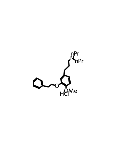 CCCN(CCC)CCCc1ccc(OC)c(OCCc2ccccc2)c1.Cl